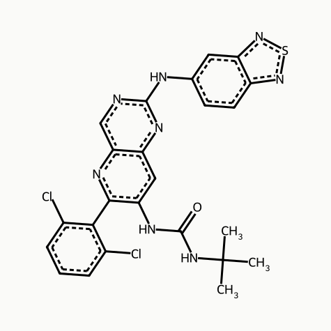 CC(C)(C)NC(=O)Nc1cc2nc(Nc3ccc4nsnc4c3)ncc2nc1-c1c(Cl)cccc1Cl